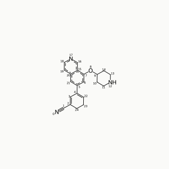 N#CC1=CC(c2cc(OC3CCNCC3)c3cnccc3c2)=CCC1